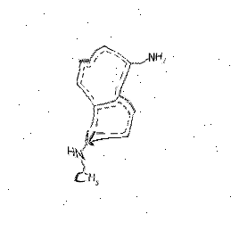 CNn1ccc2c(N)cccc21